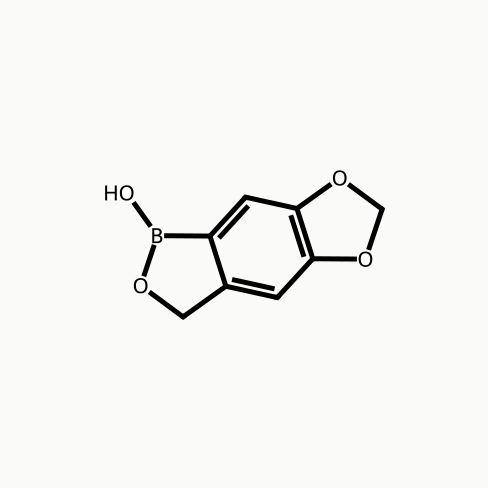 OB1OCc2cc3c(cc21)OCO3